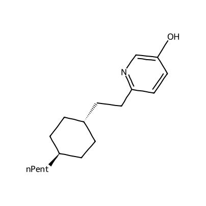 CCCCC[C@H]1CC[C@H](CCc2ccc(O)cn2)CC1